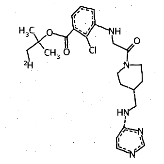 [2H]CC(C)(C)OC(=O)c1cccc(NCC(=O)N2CCC(CNc3ccncn3)CC2)c1Cl